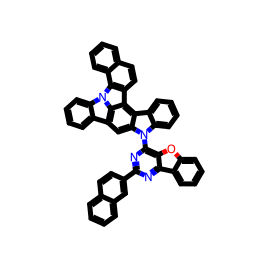 c1ccc2cc(-c3nc(-n4c5ccccc5c5c6c7ccc8ccccc8c7n7c8ccccc8c(cc54)c67)c4oc5ccccc5c4n3)ccc2c1